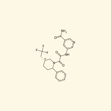 NC(=O)c1cncc(NC(=O)C(=O)N2C[C@@H](CC(F)(F)F)CCC2c2ccccc2)c1